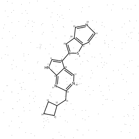 c1cc2sc(-c3c[nH]c4nc(CC5CCC5)ncc34)cc2cn1